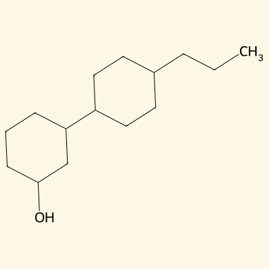 CCCC1CCC(C2CCCC(O)C2)CC1